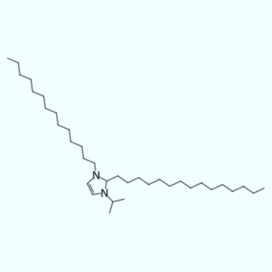 CCCCCCCCCCCCCCCC1N(CCCCCCCCCCCCCC)C=CN1C(C)C